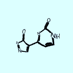 O=C1N=NC=C1c1cc[nH]c(=O)n1